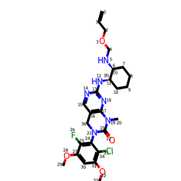 C=CCOCN[C@H]1CCCC[C@H]1Nc1ncc2c(n1)N(C)C(=O)N(c1c(F)c(OC)cc(OC)c1Cl)C2